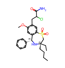 CCCC[C@]1(CC)CS(=O)(=O)c2cc(CC(Cl)C(N)=O)c(OC)cc2[C@@H](c2ccccc2)N1